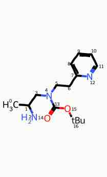 CC(N)CN(CCc1ccccn1)C(=O)OC(C)(C)C